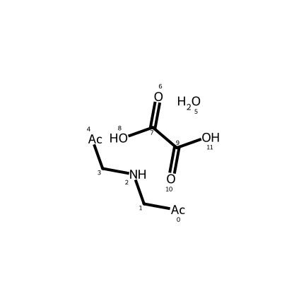 CC(=O)CNCC(C)=O.O.O=C(O)C(=O)O